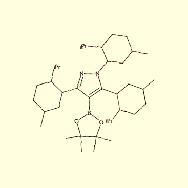 CC1CCC(C(C)C)C(c2nn(C3CC(C)CCC3C(C)C)c(C3CC(C)CCC3C(C)C)c2B2OC(C)(C)C(C)(C)O2)C1